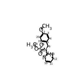 COc1ccc(CN(c2ncccn2)S(=O)(=O)OC)cc1